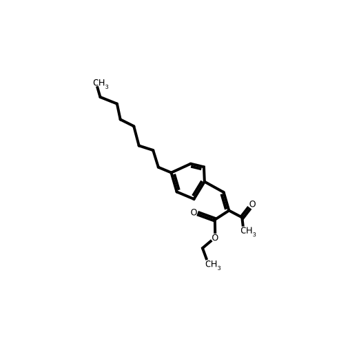 CCCCCCCCc1ccc(/C=C(/C(C)=O)C(=O)OCC)cc1